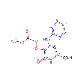 CC(C)(C)OC(=O)COc1c(Nc2ncccn2)cc(C(=O)O)oc1=O